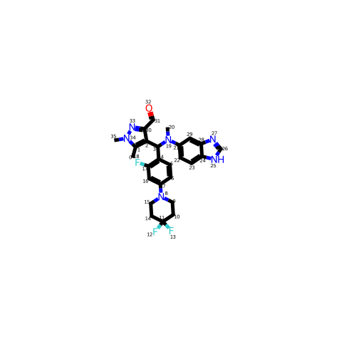 Cc1c(C(c2ccc(N3CCC(F)(F)CC3)cc2F)N(C)c2ccc3[nH]cnc3c2)c(C=O)nn1C